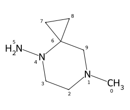 CN1CCN(N)C2(CC2)C1